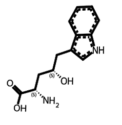 N[C@@H](C[C@@H](O)Cc1c[nH]c2ccccc12)C(=O)O